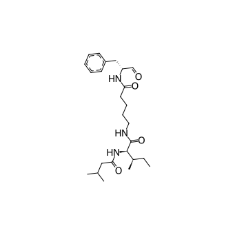 CC[C@@H](C)[C@@H](NC(=O)CC(C)C)C(=O)NCCCCC(=O)N[C@@H](C=O)Cc1ccccc1